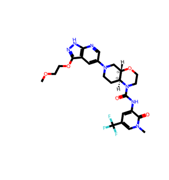 COCCOc1n[nH]c2ncc(N3CC[C@H]4[C@H](C3)OCCN4C(=O)Nc3cc(C(F)(F)F)cn(C)c3=O)cc12